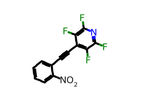 O=[N+]([O-])c1ccccc1C#Cc1c(F)c(F)nc(F)c1F